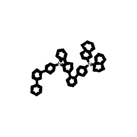 c1ccc(-c2cccc(-c3ccc(-n4c5ccccc5c5ccc(-c6ccccc6-c6ccc(N(c7ccc8ccccc8c7)c7cccc8ccccc78)cc6)cc54)cc3)c2)cc1